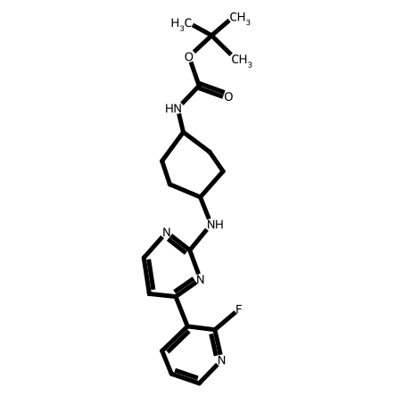 CC(C)(C)OC(=O)NC1CCC(Nc2nccc(-c3cccnc3F)n2)CC1